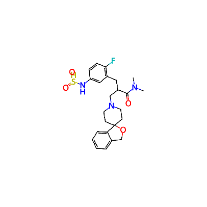 CN(C)C(=O)C(Cc1cc(N[SH](=O)=O)ccc1F)CN1CCC2(CC1)OCc1ccccc12